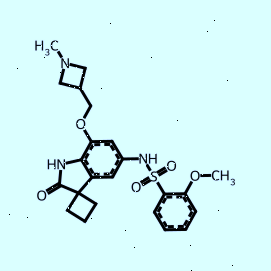 COc1ccccc1S(=O)(=O)Nc1cc(OCC2CN(C)C2)c2c(c1)C1(CCC1)C(=O)N2